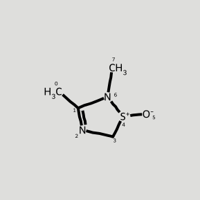 CC1=NC[S+]([O-])N1C